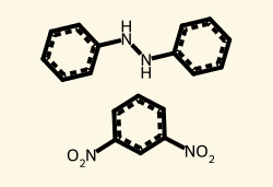 O=[N+]([O-])c1cccc([N+](=O)[O-])c1.c1ccc(NNc2ccccc2)cc1